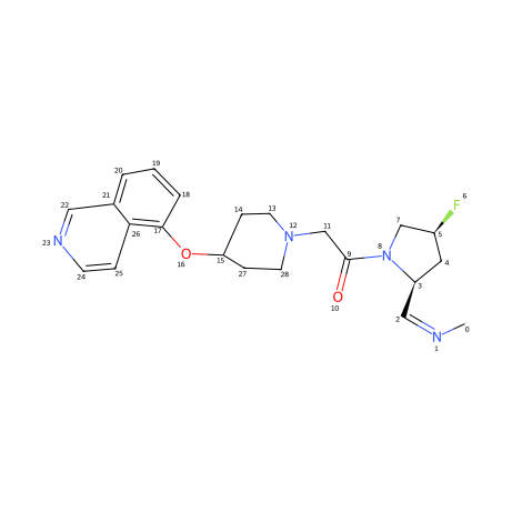 C/N=C\[C@@H]1C[C@H](F)CN1C(=O)CN1CCC(Oc2cccc3cnccc23)CC1